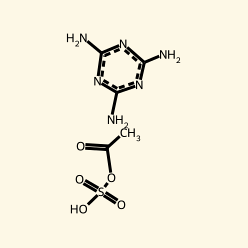 CC(=O)OS(=O)(=O)O.Nc1nc(N)nc(N)n1